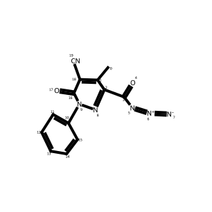 Cc1c(C(=O)N=[N+]=[N-])nn(-c2ccccc2)c(=O)c1C#N